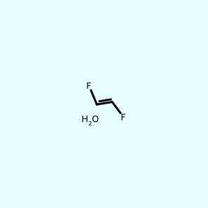 FC=CF.O